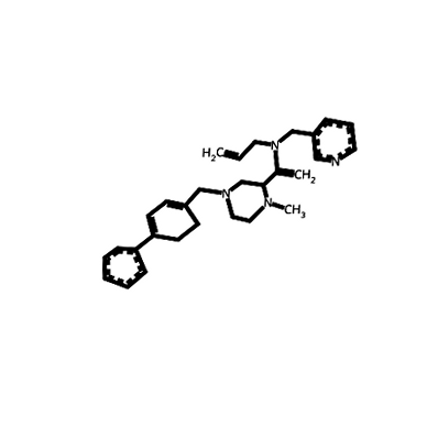 C=CCN(Cc1cccnc1)C(=C)C1CN(CC2=CC=C(c3ccccc3)CC2)CCN1C